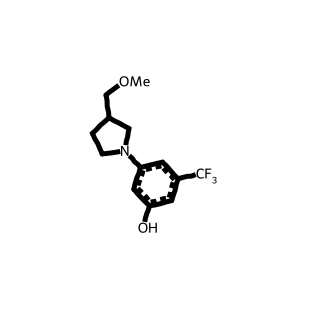 COCC1CCN(c2cc(O)cc(C(F)(F)F)c2)C1